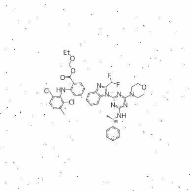 CCOCOC(=O)c1ccccc1Nc1c(Cl)ccc(C)c1Cl.C[C@@H](Nc1nc(N2CCOCC2)nc(-n2c(C(F)F)nc3ccccc32)n1)c1ccccc1